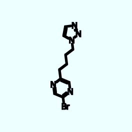 Brc1cnc(CCCCn2ccnn2)cn1